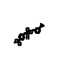 COC(=O)c1ccc(CNC(=O)OCc2cccc(C3CC3)c2)cc1